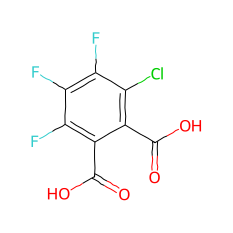 O=C(O)c1c(F)c(F)c(F)c(Cl)c1C(=O)O